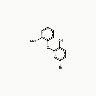 COc1ccccc1Oc1cc(Br)ccc1C#N